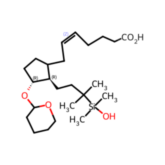 CC(C)(CC[C@@H]1C(C/C=C\CCCC(=O)O)CC[C@H]1OC1CCCCO1)[Si](C)(C)O